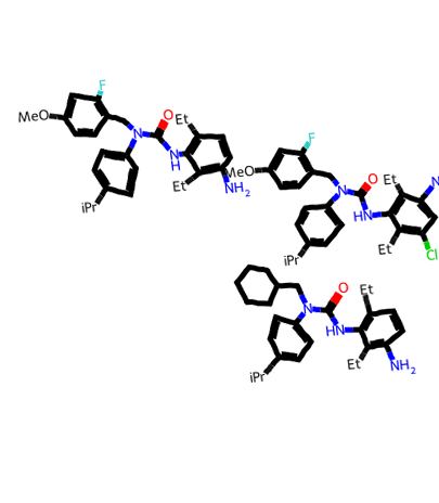 CCc1c(N)cc(Cl)c(CC)c1NC(=O)N(Cc1ccc(OC)cc1F)c1ccc(C(C)C)cc1.CCc1ccc(N)c(CC)c1NC(=O)N(CC1CCCCC1)c1ccc(C(C)C)cc1.CCc1ccc(N)c(CC)c1NC(=O)N(Cc1ccc(OC)cc1F)c1ccc(C(C)C)cc1